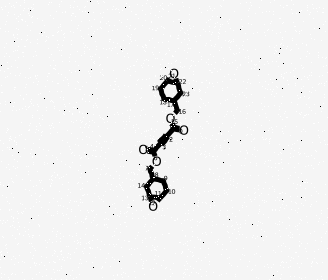 O=C(C#CC(=O)OCC1CCC2OC2C1)OCC1CCC2OC2C1